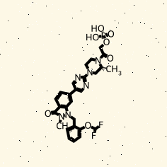 C[C@@H]1CN(c2ncc(-c3ccc4c(=O)n(C)n(Cc5ccccc5OC(F)F)c4c3)cn2)CCN1C(=O)COP(=O)(O)O